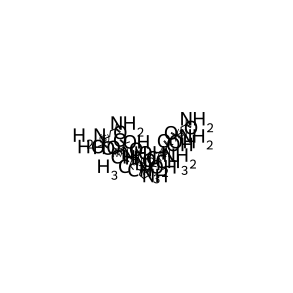 CC(C)C[C@H](N)C(=O)O.CC(C)C[C@H](N)C(=O)O.C[C@@H](O)[C@H](N)C(=O)O.NC(=O)CC[C@H](N)C(=O)O.NC(=O)C[C@H](N)C(=O)O.O=C(O)[C@@H]1CCCN1